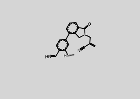 C=C(C#N)CN1Cc2c(cccc2-c2ccc(C=N)c(NC)c2)C1=O